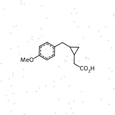 COc1ccc(CC2CC2CC(=O)O)cc1